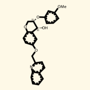 COc1cccc(O[C@H]2COc3ccc(OCc4ccc5ccccc5n4)cc3[C@H]2O)c1